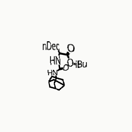 CCCCCCCCCCC(NC(=O)NC12CC3CC(CC(C3)C1)C2)C(=O)OC(C)CC